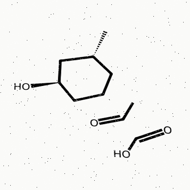 CC=O.C[C@@H]1CCC[C@@H](O)C1.O=CO